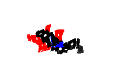 CC(C)CNC(=O)c1cc(O)c2c(c1)C(=O)c1cccc(O)c1C2=O